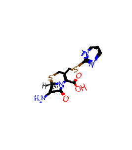 NC1C(=O)N2C(C(=O)O)=C(CSc3ncccn3)CS[C@@H]12